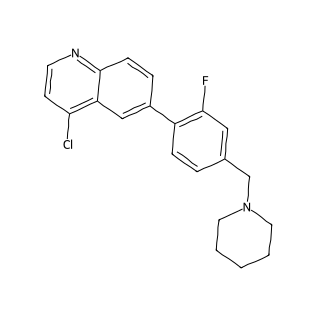 Fc1cc(CN2CCCCC2)ccc1-c1ccc2nccc(Cl)c2c1